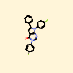 O=c1c2cc(-c3ccccc3)n(-c3ccc(F)cc3)c2ncn1-c1ccc(F)cc1